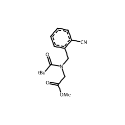 COC(=O)CN(Cc1ccccc1C#N)C(=O)C(C)(C)C